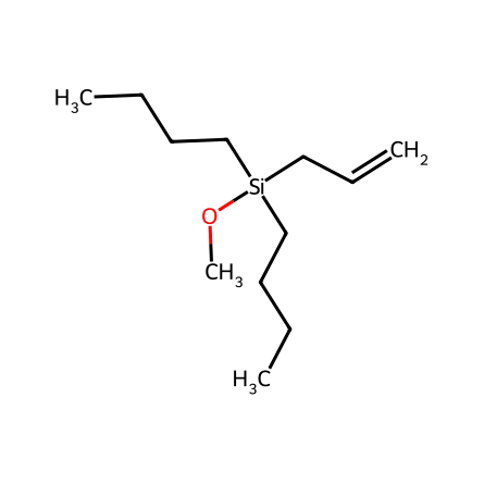 C=CC[Si](CCCC)(CCCC)OC